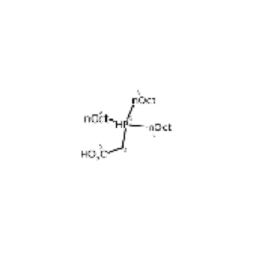 CCCCCCCC[PH](CCCCCCCC)(CCCCCCCC)CC(=O)O